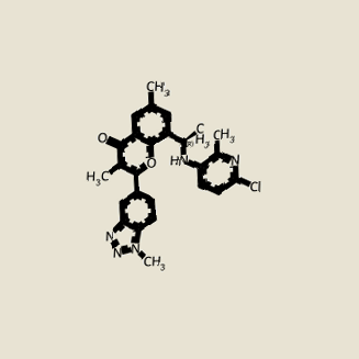 Cc1cc([C@@H](C)Nc2ccc(Cl)nc2C)c2oc(-c3ccc4c(c3)nnn4C)c(C)c(=O)c2c1